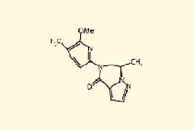 COc1nc(N2CC(C)n3nccc3C2=O)ccc1C(F)(F)F